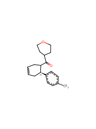 O=C(C1CCOCC1)C1CC=CC[C@@H]1c1ccc(C(F)(F)F)cc1